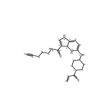 C=CC(=O)N1CCC(NC2=CN=C3NC=C(C(=O)NCCCC#N)C3N2)CC1